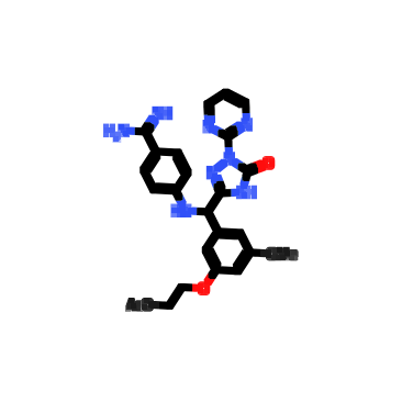 COc1cc(OCCOC(C)=O)cc(C(Nc2ccc(C(=N)N)cc2)c2nn(-c3ncccn3)c(=O)[nH]2)c1